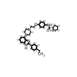 CCc1ccc(-c2nc3c(N4CCN(CCOc5ccc(NC(=O)[C@@H]6CCCN6)cc5)CC4)cccc3[nH]2)cc1